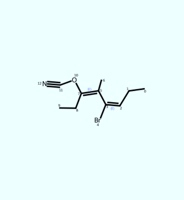 CC/C=C(Br)\C(C)=C(/CC)OC#N